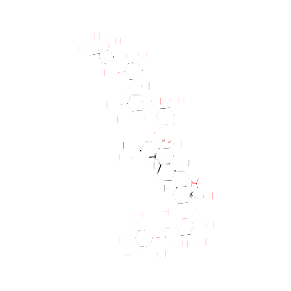 C[C@@H]1O[C@@H](O[C@H]2[C@H](OC(=O)[C@]34CCC(C)(C)C[C@H]3C3=CC[C@@H]5[C@@]6(C)C[C@H](O)[C@H](O[C@@H]7O[C@H](CO[C@@H]8O[C@H](CO)[C@@H](O)[C@H](O)[C@H]8O)[C@@H](O)[C@H](O)[C@H]7O)C(CO)(CO)[C@@H]6CC[C@@]5(C)[C@]3(C)C[C@H]4O)OC[C@H](O)[C@@H]2O)[C@H](O)[C@H](O)[C@H]1O[C@@H]1OC[C@@H](O)[C@H](O[C@@H]2OC[C@](O)(CO)[C@H]2O)[C@H]1O